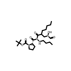 CCCCCC(CN(O)C=O)C(=O)N(NCCCC)C(=O)[C@@H]1CCCN1C(=O)OC(C)(C)C